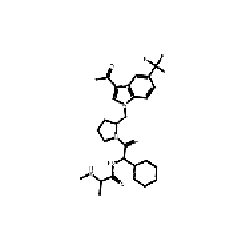 CNC(C)C(=O)NC(C(=O)N1CCCC1Cn1cc(C(C)=O)c2cc(C(F)(F)F)ccc21)C1CCCCC1